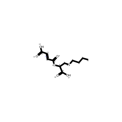 CCCCSCC(OC(=O)/C=C/C(=O)O)C(=O)O